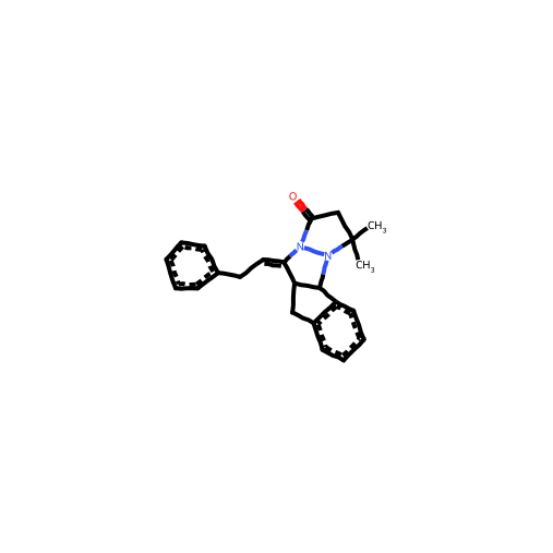 CC1(C)CC(=O)N2/C(=C/Cc3ccccc3)C3Cc4ccccc4C3N21